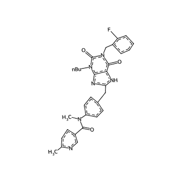 CCCCn1c(=O)n(Cc2ccccc2F)c(=O)c2[nH]c(Cc3ccc(N(C)C(=O)c4ccc(C)nc4)cc3)nc21